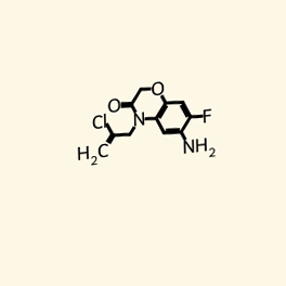 C=C(Cl)CN1C(=O)COc2cc(F)c(N)cc21